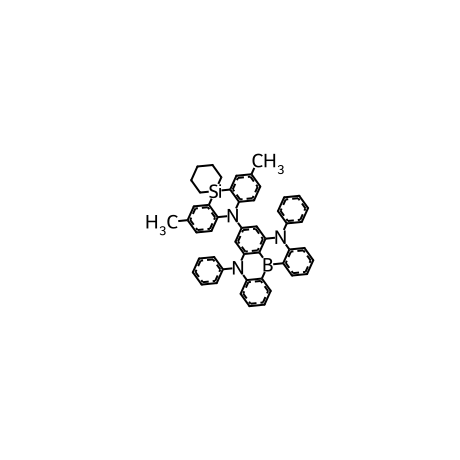 Cc1ccc2c(c1)[Si]1(CCCCC1)c1cc(C)ccc1N2c1cc2c3c(c1)N(c1ccccc1)c1ccccc1B3c1ccccc1N2c1ccccc1